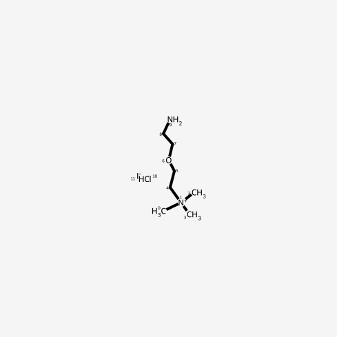 C[N+](C)(C)CCOCCN.Cl.[I-]